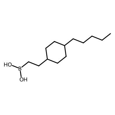 CCCCCC1CCC(CCB(O)O)CC1